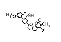 COc1ccc(F)c(-c2ccc(C3CCc4ccc([C@H](C5CC5)[C@H](C)C(=O)O)cc4O3)cc2CNI)c1